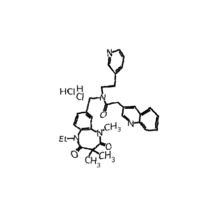 CCN1C(=O)C(C)(C)C(=O)N(C)c2cc(CN(CCc3cccnc3)C(=O)Cc3cnc4ccccc4c3)ccc21.Cl.Cl